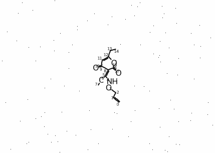 C=CCON/C(CC)=C1/C(=O)C=C(CC)OC1=O